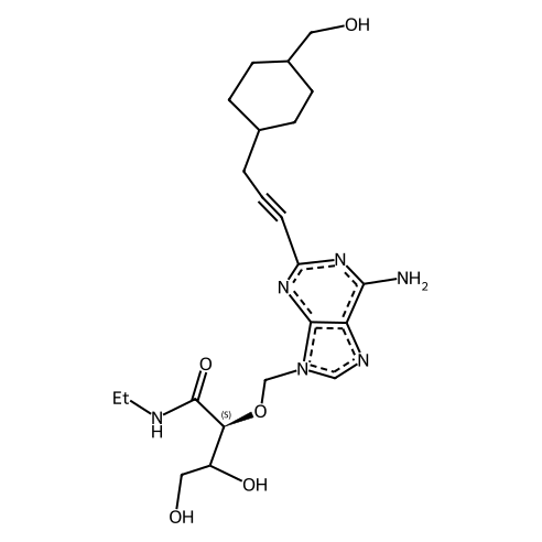 CCNC(=O)[C@@H](OCn1cnc2c(N)nc(C#CCC3CCC(CO)CC3)nc21)C(O)CO